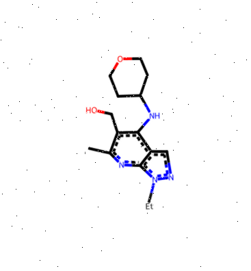 CCn1ncc2c(NC3CCOCC3)c(CO)c(C)nc21